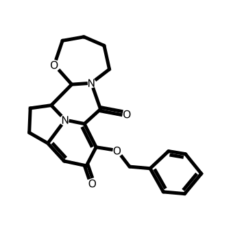 O=C1c2c(OCc3ccccc3)c(=O)cc3n2C(CC3)C2OCCCCN12